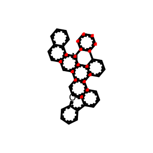 c1ccc(-c2ccccc2-c2c(-c3ccccc3)cccc2-c2ccccc2N(c2ccc(-c3cccc4c3oc3ccccc34)cc2)c2cccc3ccccc23)cc1